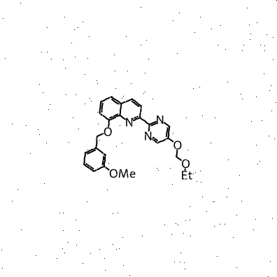 CCOCOc1cnc(-c2ccc3cccc(OCc4cccc(OC)c4)c3n2)nc1